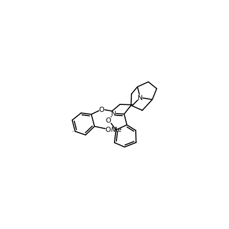 COc1c[c]ccc1OCCCN1C2CCC1CC(c1noc3ccccc13)C2